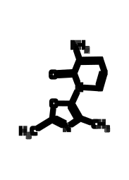 Cc1nc(C)c(-n2cccc(N)c2=O)o1